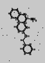 Nc1nc2ccccc2c2ccc(OCc3ccccc3)nc12